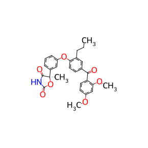 CCCc1cc(C(=O)c2ccc(OC)cc2OC)ccc1Oc1cccc([C@@]2(C)OC(=O)NC2=O)c1